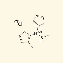 CC1=[C]([Hf+2]([C]2=CC=CC2)[SiH](C)C)CC=C1.[Cl-].[Cl-]